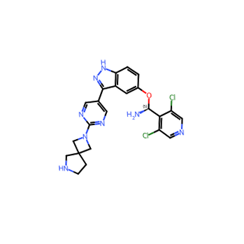 N[C@@H](Oc1ccc2[nH]nc(-c3cnc(N4CC5(CCNC5)C4)nc3)c2c1)c1c(Cl)cncc1Cl